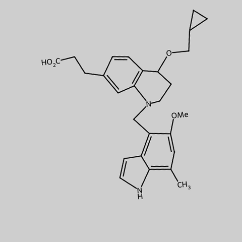 COc1cc(C)c2[nH]ccc2c1CN1CCC(OCC2CC2)c2ccc(CCC(=O)O)cc21